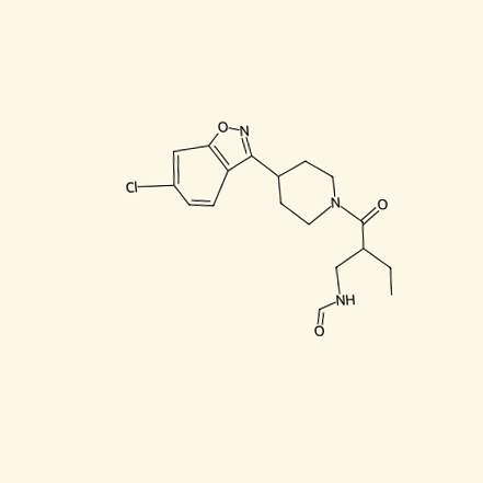 CCC(CNC=O)C(=O)N1CCC(c2noc3cc(Cl)ccc23)CC1